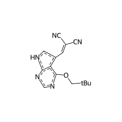 CC(C)(C)COc1ncnc2[nH]cc(C=C(C#N)C#N)c12